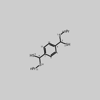 CCCSC(S)c1ccc(C(S)SCCC)cc1